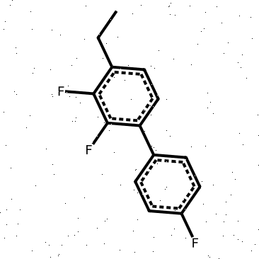 CCc1ccc(-c2ccc(F)cc2)c(F)c1F